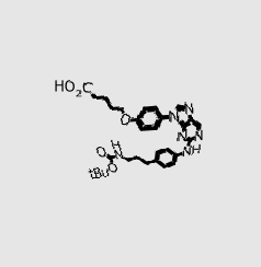 CC(C)(C)OC(=O)NCCCc1ccc(Nc2ncc3ncn(-c4ccc(OCCCCC(=O)O)cc4)c3n2)cc1